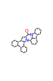 O=c1c2cc3c4ccccc4c4ccccc4c3n2c2cccc3c4ccccc4n1c32